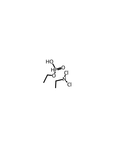 CCN(Cl)Cl.CCO[PH](=O)O